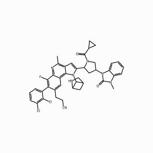 Cc1nc2c(F)c(-c3cccc(Cl)c3Cl)c(CCC#N)cc2c2c1cc(C1CC(n3c(=O)n(C)c4ccccc43)CN1C(=O)C1CC1)n2C1C2CNC1C2